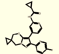 O=C(Nc1cc(-c2c(-c3ccc(F)cn3)nn3c2OCC2(CC2)C3)ccn1)C1CC1